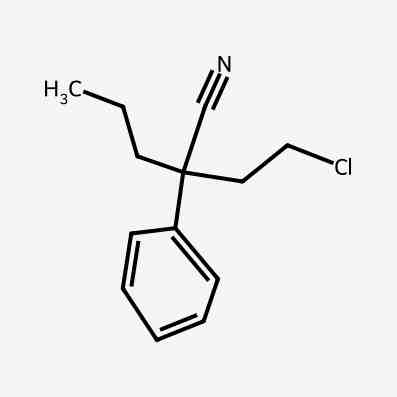 CCCC(C#N)(CCCl)c1ccccc1